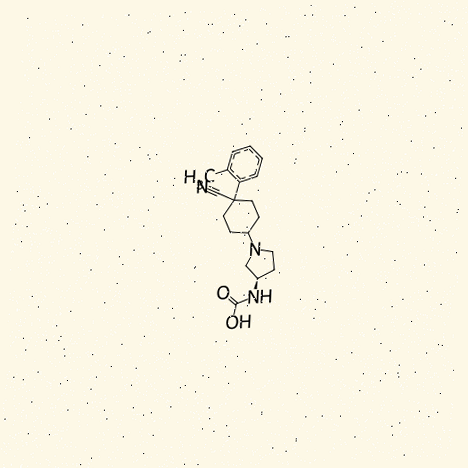 Cc1ccccc1C1(C#N)CCC(N2CC[C@@H](NC(=O)O)C2)CC1